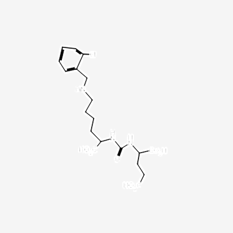 O=C(O)CCC(NC(=O)NC(CCCCNCc1ccccc1Cl)C(=O)O)C(=O)O